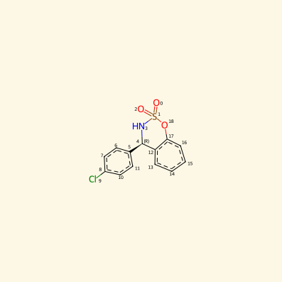 O=S1(=O)N[C@H](c2ccc(Cl)cc2)c2ccccc2O1